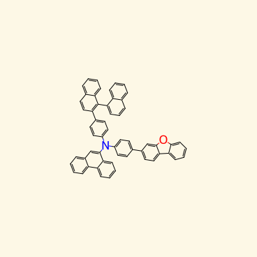 c1ccc2c(-c3c(-c4ccc(N(c5ccc(-c6ccc7c(c6)oc6ccccc67)cc5)c5cc6ccccc6c6ccccc56)cc4)ccc4ccccc34)cccc2c1